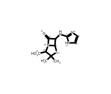 CC1(C)SC2C(Nc3ncc[nH]3)C(=O)N2C1C(=O)O